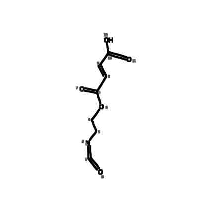 O=C=NCCOC(=O)C=CC(=O)O